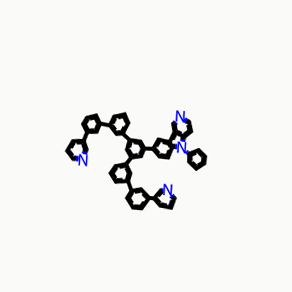 c1ccc(-n2c3ccncc3c3cc(-c4cc(-c5cccc(-c6cccc(-c7cccnc7)c6)c5)cc(-c5cccc(-c6cccc(-c7cccnc7)c6)c5)c4)ccc32)cc1